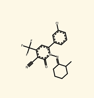 CC1CCCCC1=Nn1c(-c2cccc(Cl)c2)cc(C(F)(F)F)c(C#N)c1=O